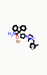 CC1=[N+](Cc2ccccc2C)CCN1[C@H]1CC[C@@H](C(C(N)=O)(c2ccccc2)c2ccccc2)C1.[Br-]